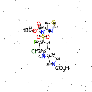 CN(c1ccc(S(=O)(=O)N(C(=O)OC(C)(C)C)c2cscn2)c(F)c1Cl)C1CCN(C(=O)O)C1